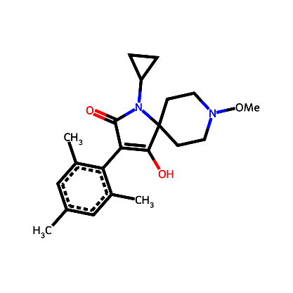 CON1CCC2(CC1)C(O)=C(c1c(C)cc(C)cc1C)C(=O)N2C1CC1